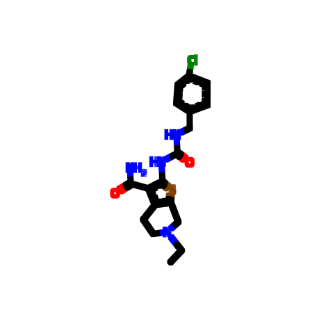 CCN1CCc2c(sc(NC(=O)NCc3ccc(Cl)cc3)c2C(N)=O)C1